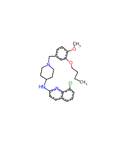 CCCCOc1cc(CN2CCC(Nc3ccc4cccc(Cl)c4n3)CC2)ccc1OC